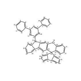 c1ccc(-c2cc(-c3ccccc3)nc(-n3c4ccccc4c4cc5c(cc43)Oc3ccccc3C53c4ccccc4-c4ccccc43)n2)cc1